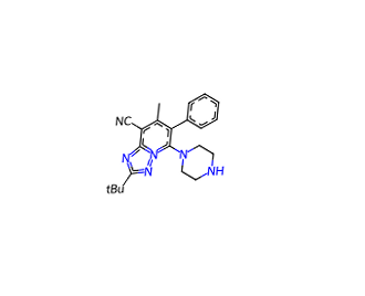 Cc1c(-c2ccccc2)c(N2CCNCC2)n2nc(C(C)(C)C)nc2c1C#N